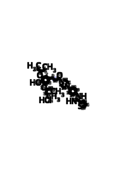 CCC(CC)Oc1cc(/C=C/C(=O)N2CCN(c3ccc(NC(=N)c4cccs4)cc3)CC2)cc(OC(CC)CC)c1O.Cl